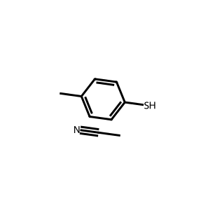 CC#N.Cc1ccc(S)cc1